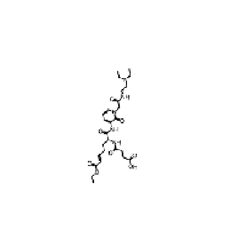 CCOC(=O)C=CCCC(NC(=O)CCC(=O)O)C(=O)Nc1cccn(CC(=O)NCCN(CC)CC)c1=O